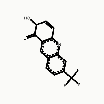 O=C1c2cc3ccc(C(F)(F)F)cc3nc2C=CC1O